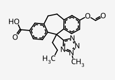 CCCC1(c2nnn(C)n2)c2ccc(OC=O)cc2CCc2cc(C(=O)O)ccc21